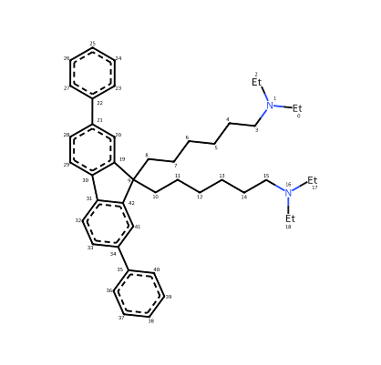 CCN(CC)CCCCCCC1(CCCCCCN(CC)CC)c2cc(-c3ccccc3)ccc2-c2ccc(-c3ccccc3)cc21